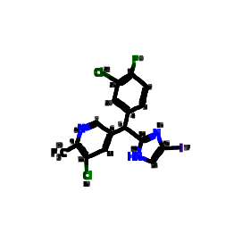 Fc1ccc(C(c2cnc(C(F)(F)F)c(Cl)c2)c2nc(I)c[nH]2)cc1Cl